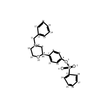 O=S(=O)(Oc1ccc([C@@H]2CN(Cc3ccccc3)CCO2)cc1)c1ccccc1